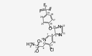 NS(=O)(=O)Cc1ncc(-c2nccnc2Oc2ccc(C(F)(F)F)cc2)cc1Cl